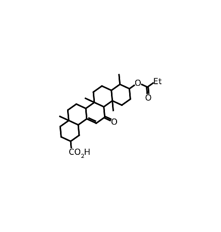 CCC(=O)OC1CCC2(C)C(CCC3(C)C4CCC5(C)CCC(C(=O)O)CC5C4=CC(=O)C32)C1C